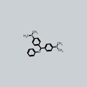 CN(C)c1ccc(C(Oc2ccccc2)c2ccc(N(C)C)cc2)cc1